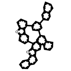 c1ccc2cc(-c3cc(-c4ccc5ccccc5c4)cc(-c4cccc5oc6ccc(-c7cccc8c7oc7c9ccccc9ccc87)cc6c45)c3)ccc2c1